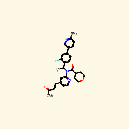 BC(c1ccc(-c2ccc(NC)nc2)cc1F)N(C(=O)C1CCOCC1)c1cc(/C=C/C(=O)OC)ccn1